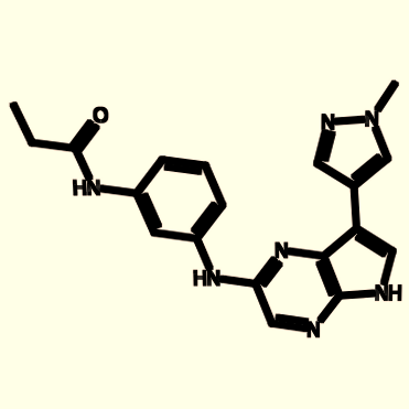 CCC(=O)Nc1cccc(Nc2cnc3[nH]cc(-c4cnn(C)c4)c3n2)c1